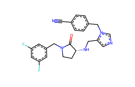 N#Cc1ccc(Cn2cncc2CN[C@@H]2CCN(Cc3cc(F)cc(F)c3)C2=O)cc1